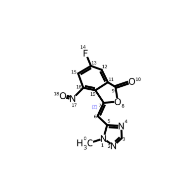 Cn1ncnc1/C=C1\OC(=O)c2cc(F)cc(N=O)c21